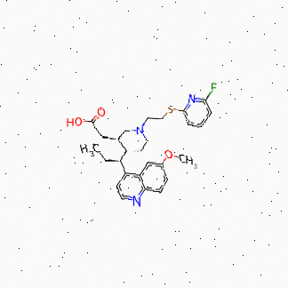 CC[C@H](c1ccnc2ccc(OC)cc12)[C@H]1CCN(CCSc2cccc(F)n2)C[C@@H]1CC(=O)O